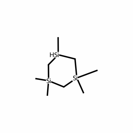 C[SiH]1C[Si](C)(C)C[Si](C)(C)C1